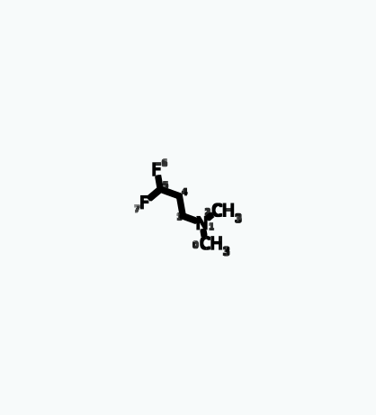 CN(C)CCC(F)F